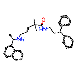 C[C@@H](NC/C=C/C(C)(C)C(=O)NCCC(c1ccccc1)c1ccccc1)c1cccc2ccccc12